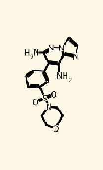 Nc1nn2ccnc2c(N)c1-c1cccc(S(=O)(=O)N2CCOCC2)c1